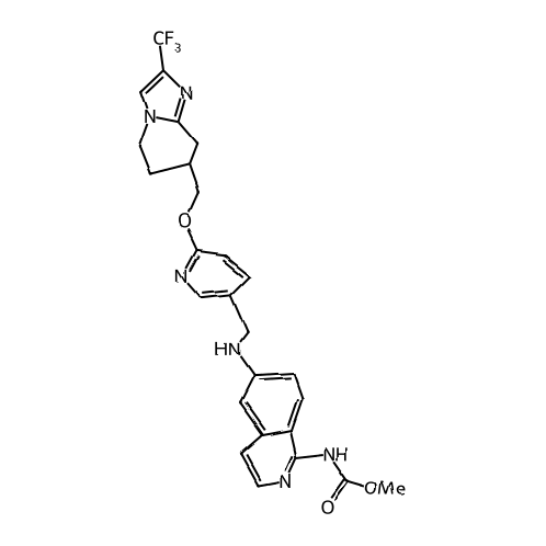 COC(=O)Nc1nccc2cc(NCc3ccc(OCC4CCn5cc(C(F)(F)F)nc5C4)nc3)ccc12